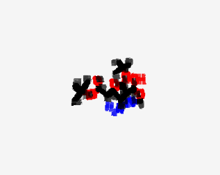 CN[C@@](C(=O)O)(C(=O)OC(C)(C)C)C(N)CCC(=O)OC(C)(C)C